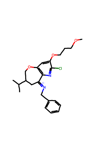 COCCCOc1cc2c(nc1Cl)/C(=N/Cc1ccccc1)CC(C(C)C)CO2